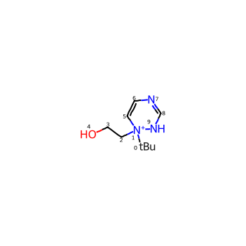 CC(C)(C)[N+]1(CCO)C=CN=CN1